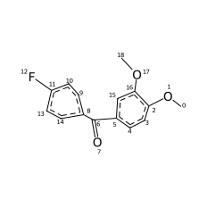 COc1ccc(C(=O)c2ccc(F)cc2)cc1OC